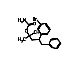 CC(C)(CC(Cc1ccccc1)c1cccc(Br)c1)OC(N)=O